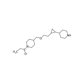 CC[S+]([O-])N1CCC(COCCC2CC2C2CCNCC2)CC1